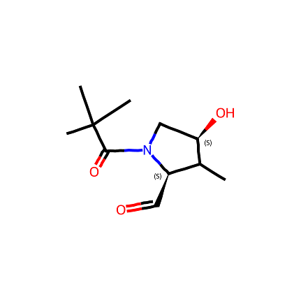 CC1[C@H](O)CN(C(=O)C(C)(C)C)[C@@H]1C=O